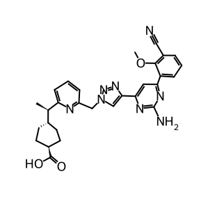 COc1c(C#N)cccc1-c1cc(-c2cn(Cc3cccc([C@H](C)[C@H]4CC[C@H](C(=O)O)CC4)n3)nn2)nc(N)n1